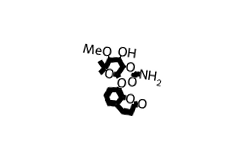 CO[C@@H]1[C@H](O)[C@H](OC(N)=O)C(Oc2cccc3ccc(=O)oc23)OC1(C)C